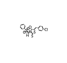 O=C1/C(=C/c2ccc(Cl)cc2)SC(=S)N1NS(=O)(=O)c1ccccc1